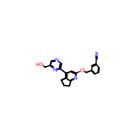 N#Cc1cccc(COc2cc(-c3cncc(CO)n3)c3c(n2)CCC3)c1